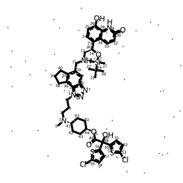 CN(CCCn1nnc2cc(CNC[C@H](O[Si](C)(C)C(C)(C)C)c3ccc(O)c4[nH]c(=O)ccc34)c3c(c21)CCC3)[C@H]1CC[C@H](OC(=O)C(O)(c2ccc(Cl)s2)c2ccc(Cl)s2)CC1